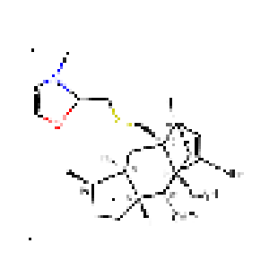 CC(C)C1=C[C@H]2C[C@@]3(C=O)[C@@H]4CC[C@@H](C)[C@H]4C[C@@]2(CSCC2OC=CN2C)[C@]13C(=O)O